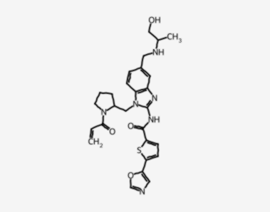 C=CC(=O)N1CCCC1Cn1c(NC(=O)c2ccc(-c3cnco3)s2)nc2cc(CNC(C)CO)ccc21